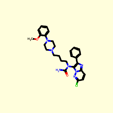 COc1ccccc1N1CCN(CCCCN(C(N)=O)c2c(-c3ccccc3)nc3ccc(Cl)nn23)CC1